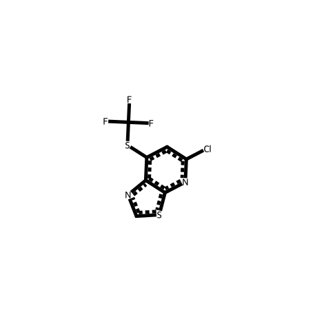 FC(F)(F)Sc1cc(Cl)nc2scnc12